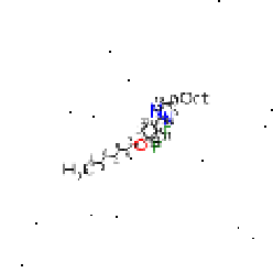 C=CCCCCCCOc1ccc(-c2ncc(CCCCCCCC)cn2)c(F)c1F